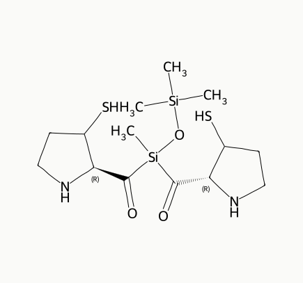 C[Si](C)(C)O[Si](C)(C(=O)[C@H]1NCCC1S)C(=O)[C@H]1NCCC1S